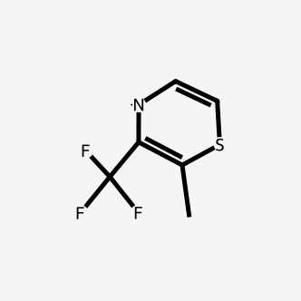 CC1=C(C(F)(F)F)[N]C=CS1